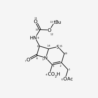 CC(=O)OCC1=C(C(=O)O)N2C(=O)C(NC(=O)OC(C)(C)C)C2SC1